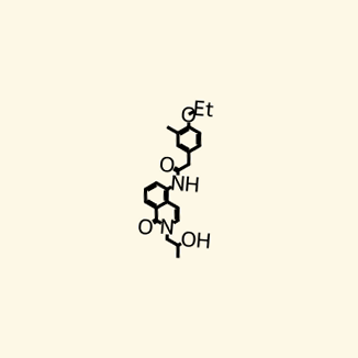 CCOc1ccc(CC(=O)Nc2cccc3c(=O)n(CC(C)O)ccc23)cc1C